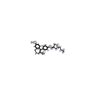 Oc1ccc2c(c1)CCCC(Br)=C2c1ccc(O/C=C2\CCN(CCCF)C2)cc1